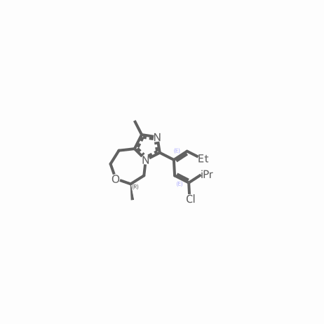 CC/C=C(\C=C(\Cl)C(C)C)c1nc(C)c2n1C[C@@H](C)OCC2